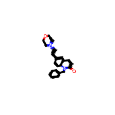 O=C1CCc2cc(CCN3CCOCC3)ccc2N1Cc1ccccc1